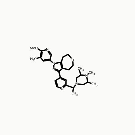 COc1ncc(-n2nc(-c3ccnc(C(C)N4CC(C)N(C)C(C)C4)c3)c3c2CCOCC3)cc1C